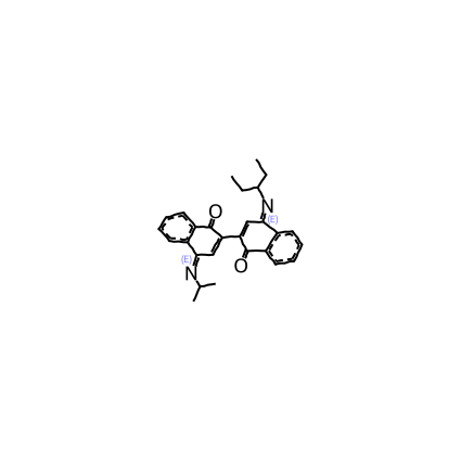 CCC(CC)/N=C1\C=C(C2=C/C(=N\C(C)C)c3ccccc3C2=O)C(=O)c2ccccc21